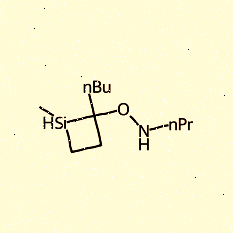 CCCCC1(ONCCC)CC[SiH]1C